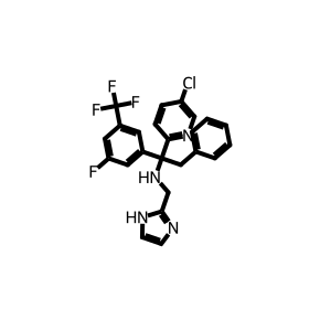 Fc1cc(C(F)(F)F)cc(C(Cc2ccccc2)(NCc2ncc[nH]2)c2ccc(Cl)cn2)c1